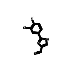 O=Cc1c[nH]c(-c2ccc(F)c(Cl)c2)n1